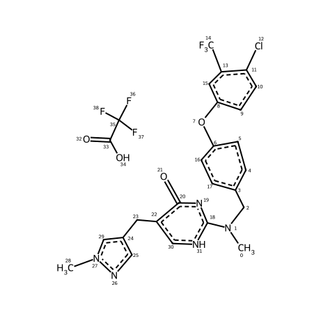 CN(Cc1ccc(Oc2ccc(Cl)c(C(F)(F)F)c2)cc1)c1nc(=O)c(Cc2cnn(C)c2)c[nH]1.O=C(O)C(F)(F)F